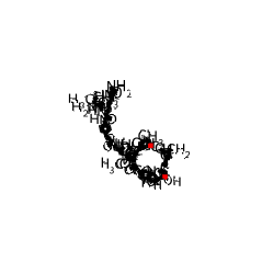 C=C1C2C[C@@H]3O[C@H](CC(O)CNC(=O)OCc4ccc(NC(=O)C(CCCNC(N)=O)NC(=O)[C@@H](N)C(C)C)cc4)[C@H](OC)C3CC(=O)CC3CC[C@@H]4O[C@@H]5CC(O[C@@]6(CCC7CC(=C)[C@H](CC[C@@H](C[C@H]1C)O2)O7)C[C@@H](O)C5O6)[C@H]4O3